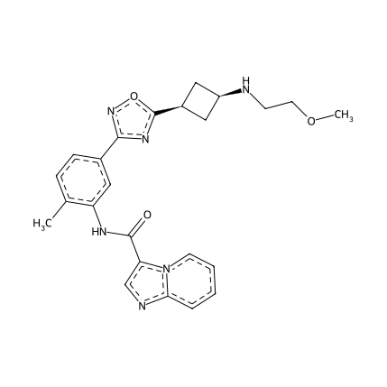 COCCN[C@H]1C[C@@H](c2nc(-c3ccc(C)c(NC(=O)c4cnc5ccccn45)c3)no2)C1